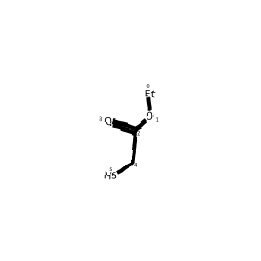 CCOC(=O)[CH]S